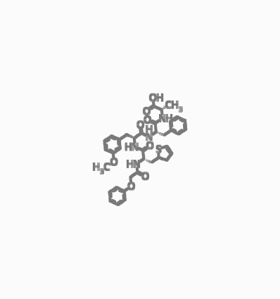 COc1cccc(C[C@H](NC(=O)[C@H](CC2CC=CS2)NC(=O)COc2ccccc2)C(=O)N[C@@H](Cc2ccccc2)C(=O)N[C@@H](C)C(=O)O)c1